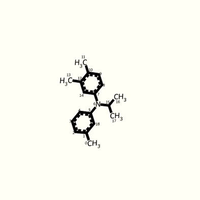 Cc1cccc(N(c2ccc(C)c(C)c2)C(C)C)c1